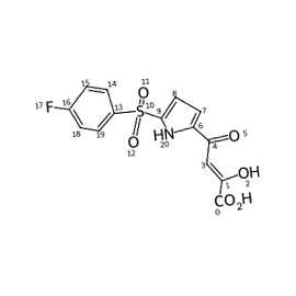 O=C(O)C(O)=CC(=O)c1ccc(S(=O)(=O)c2ccc(F)cc2)[nH]1